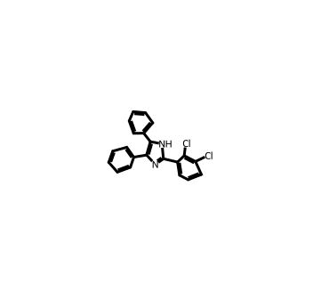 Clc1cccc(-c2nc(-c3ccccc3)c(-c3ccccc3)[nH]2)c1Cl